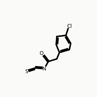 O=C(Cc1ccc(Cl)cc1)N=C=S